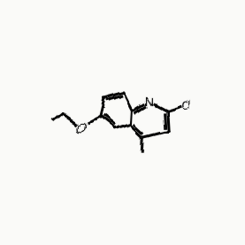 CCOc1ccc2nc(Cl)cc(C)c2c1